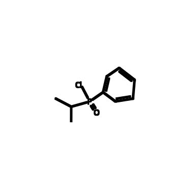 CC(C)P(=O)(Cl)c1ccccc1